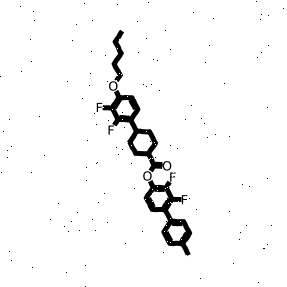 CCCCCOc1ccc(C2CCC(C(=O)Oc3ccc(-c4ccc(C)cc4)c(F)c3F)CC2)c(F)c1F